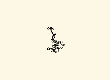 CC[C@H](C)[C@@H]([C@@H](CC(=O)N1CCC[C@H]1[C@H](OC)[C@@H](C)C(=O)N[C@@H](Cc1ccccc1)C(=O)O)OC)N(C)C(=O)[C@@H](N=C(N(C)C)N1CCN(C(=O)CCCCCN2C(=O)C=CC2=O)CC1)C(C)C